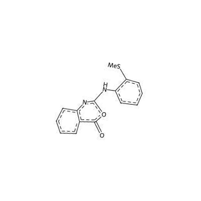 CSc1ccccc1Nc1nc2ccccc2c(=O)o1